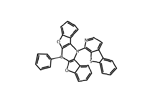 c1ccc(B2c3oc4ccccc4c3N(c3nccc4c3sc3ccccc34)c3c2oc2ccccc32)cc1